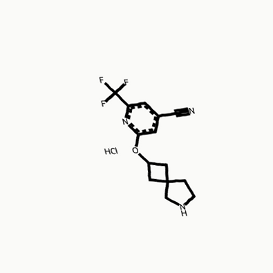 Cl.N#Cc1cc(OC2CC3(CCNC3)C2)nc(C(F)(F)F)c1